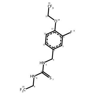 Fc1cc(CNC(=S)NCC(F)(F)F)ccc1OCC(F)(F)F